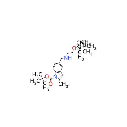 Cc1cc2cc(CNCCO[Si](C)(C)C(C)(C)C)ccc2n1C(=O)OC(C)(C)C